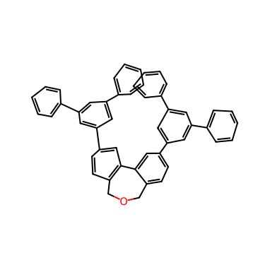 c1ccc(-c2cc(-c3ccccc3)cc(-c3ccc4c(c3)-c3cc(-c5cc(-c6ccccc6)cc(-c6ccccc6)c5)ccc3COC4)c2)cc1